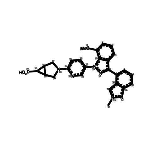 COc1cccc2c(-c3cccc4nn(C)cc34)nn(-c3ccc(N4CC5C(C4)C5C(=O)O)nc3)c12